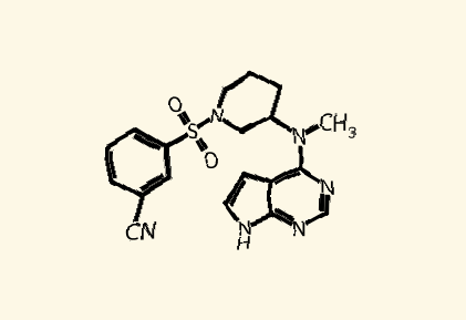 CN(c1ncnc2[nH]ccc12)C1CCCN(S(=O)(=O)c2cccc(C#N)c2)C1